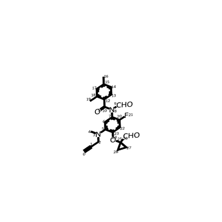 C#CCN(C)c1cc(N(C=O)C(=O)c2ccc(C)cc2C)c(F)cc1OC1(C=O)CC1